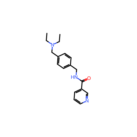 CCN(CC)Cc1ccc(CNC(=O)c2cccnc2)cc1